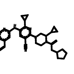 C=Cc1ccnc(Nc2cc(C#N)c(N3CCN(C(=C)CC4CCCC4)C(C4CC4)C3)nc2C2CC2)c1